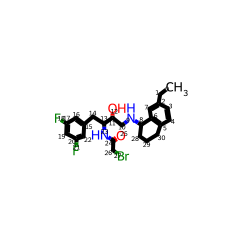 CCc1ccc2c(c1)C(NCC(O)C(Cc1cc(F)cc(F)c1)NC(=O)CBr)CCC2